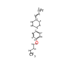 CCC/C=C/[C@H]1CC[C@H](c2ccc(OCCCC(F)(F)F)cc2)CC1